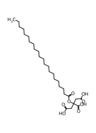 CCCCCCCCCCCCCCCCCCCCCC(=O)OC(CC(=O)O)(CC(=O)O)C(=O)O